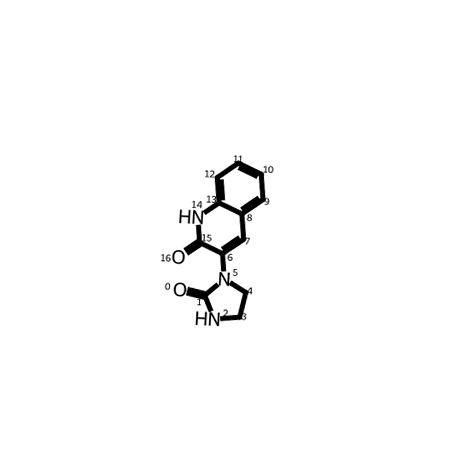 O=C1NCCN1c1cc2ccccc2[nH]c1=O